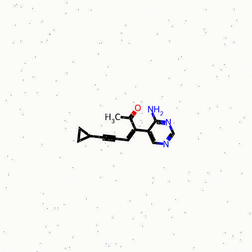 CC(=O)/C(=C\C#CC1CC1)c1cncnc1N